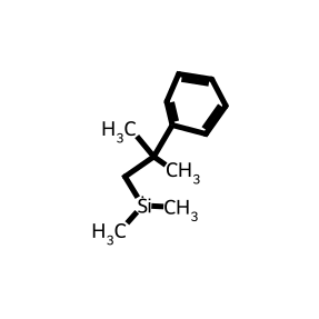 C[Si](C)CC(C)(C)c1ccccc1